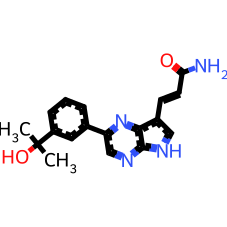 CC(C)(O)c1cccc(-c2cnc3[nH]cc(C=CC(N)=O)c3n2)c1